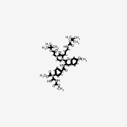 COC(=O)NC(=N)N(C(=O)OC)c1ccc(C(=O)NC(Cc2ccc(OC)cc2)C(=O)N2CCN(CC(=O)OC(C)(C)C)C(=O)C2CCCNC(=O)OC(C)(C)C)cc1